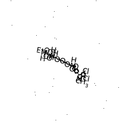 CCNC(=O)[C@@H](O)[C@H](O)C(=O)NCCOCCOCCOCCNS(=O)(=O)c1ccc([C@@H]2CN(C)Cc3c(Cl)cc(Cl)cc32)cc1